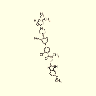 COc1ccc2nc(CCN(C)C(=O)c3ccc(-c4cnc(N5CCN(C(=O)OC(C)(C)C)CC5)c(C#N)c4)cc3Cl)[nH]c2c1